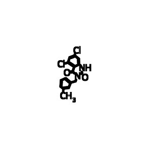 Cc1cccc(Cn2c(=O)[nH]c3cc(Cl)cc(Cl)c3c2=O)c1